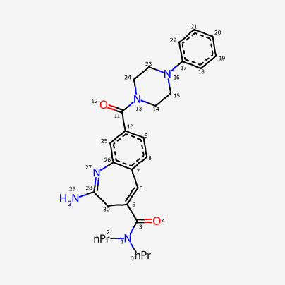 CCCN(CCC)C(=O)C1=Cc2ccc(C(=O)N3CCN(c4ccccc4)CC3)cc2N=C(N)C1